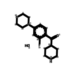 Cl.O=C(c1ccc(N2CCOCC2)cc1F)C1CCNCC1